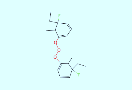 CCC1(F)C=CC=C(OOOC2=CC=CC(F)(CC)C2C)C1C